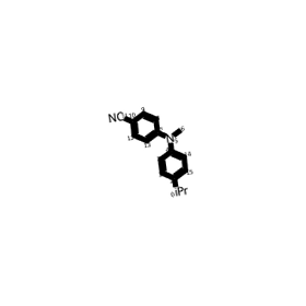 CC(C)c1ccc(N(C)c2ccc(C#N)cc2)cc1